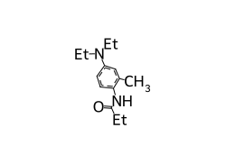 CCC(=O)Nc1ccc(N(CC)CC)cc1C